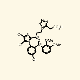 COc1cccc([C@H]2O[C@H](CCn3nnnc3CC(=O)O)c3nc(Cl)c(Cl)n3-c3ccc(Cl)cc32)c1OC